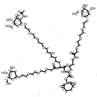 CC(=O)N[C@H]1[C@H](OCCOCCOCCOCCNCCCC[C@H](NC(=O)COCCOCCOCCO[C@H]2C[C@@H](O)[C@@H](O)[C@@H](CO)O2)C(=O)N[C@@H](CCCCNC(=O)COCCOCCOCCO[C@H]2C[C@@H](O)[C@@H](O)[C@@H](CO)O2)C(=O)ON2C3OC3CCC3OC32)O[C@H](CO)[C@H](O)[C@@H]1O